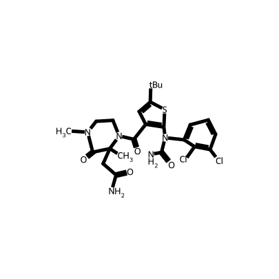 CN1CCN(C(=O)c2cc(C(C)(C)C)sc2N(C(N)=O)c2cccc(Cl)c2Cl)C(C)(CC(N)=O)C1=O